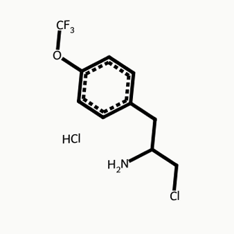 Cl.NC(CCl)Cc1ccc(OC(F)(F)F)cc1